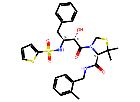 Cc1ccccc1CNC(=O)[C@H]1N(C(=O)[C@@H](O)[C@H](Cc2ccccc2)NS(=O)(=O)c2cccs2)CSC1(C)C